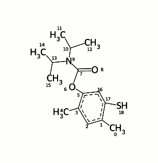 Cc1cc(C)c(OC(=O)N(C(C)C)C(C)C)cc1S